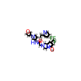 O=C(CN1CCn2c(cc(C(F)(F)F)cc2=O)C1)NC1CN(C2CCOC2)C[C@@H]1CCc1ccccn1